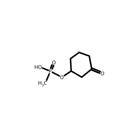 CP(=O)(O)OC1CCCC(=O)C1